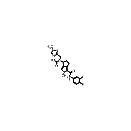 Cn1cnc(CN(C(=O)O)C2CCc3c2cn(C)c3C(=O)Nc2ccc(F)c(F)c2)n1